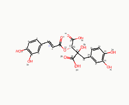 O=C(/C=C/c1ccc(O)c(O)c1)O[C@H](C(=O)O)C(O)(Cc1ccc(O)c(O)c1)C(=O)O